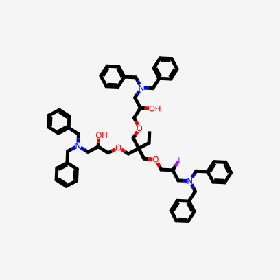 CCC(COCC(O)CN(Cc1ccccc1)Cc1ccccc1)(COCC(O)CN(Cc1ccccc1)Cc1ccccc1)COCC(I)CN(Cc1ccccc1)Cc1ccccc1